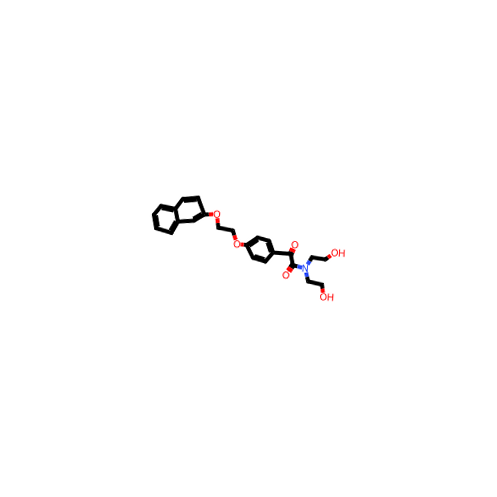 O=C(C(=O)N(CCO)CCO)c1ccc(OCCOc2ccc3ccccc3c2)cc1